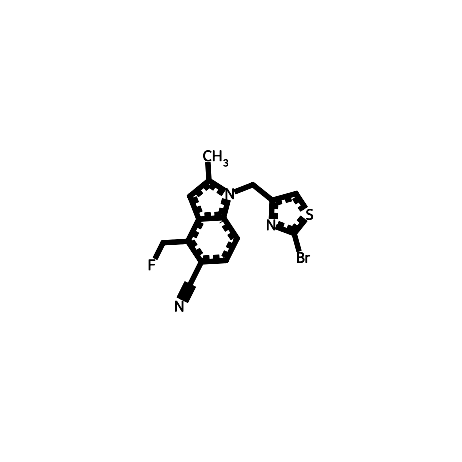 Cc1cc2c(CF)c(C#N)ccc2n1Cc1csc(Br)n1